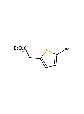 CCOC(=O)Cc1ccc(C(C)=O)s1